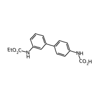 CCOC(=O)Nc1cccc(-c2ccc(NC(=O)O)cc2)c1